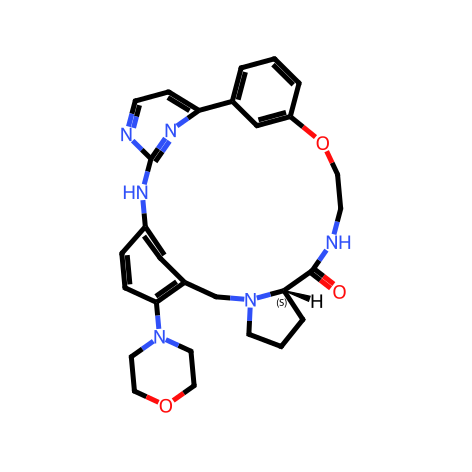 O=C1NCCOc2cccc(c2)-c2ccnc(n2)Nc2ccc(N3CCOCC3)c(c2)CN2CCC[C@@H]12